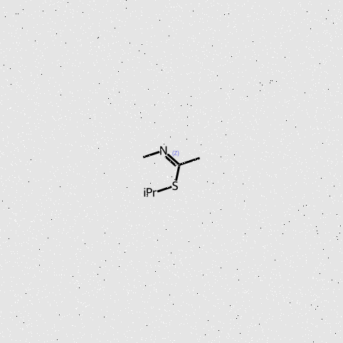 C/N=C(/C)SC(C)C